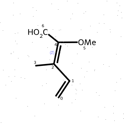 C=C/C(C)=C(\OC)C(=O)O